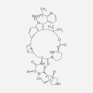 CCn1c(-c2cccnc2[C@H](C)OC)c2c3cc(ccc31)-c1csc(n1)C[C@H](NC(=O)[C@H](C(C)C)N(C)C(=O)[C@H]1[C@@H]3CNC[C@@H]31)C(=O)N1CCC[C@H](N1)C(=O)OCC(C)(C)C2